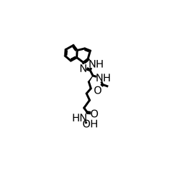 CC(=O)N[C@@H](CCCCCC(=O)NO)c1nc2c(ccc3ccccc32)[nH]1